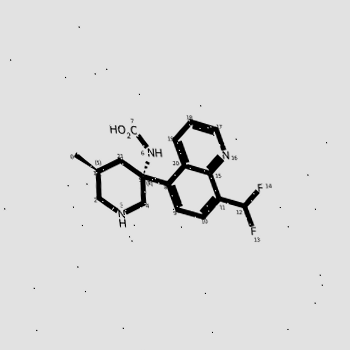 C[C@@H]1CNC[C@](NC(=O)O)(c2ccc(C(F)F)c3ncccc23)C1